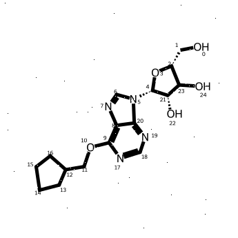 OC[C@H]1O[C@@H](n2cnc3c(OCC4CCCC4)ncnc32)[C@@H](O)C1O